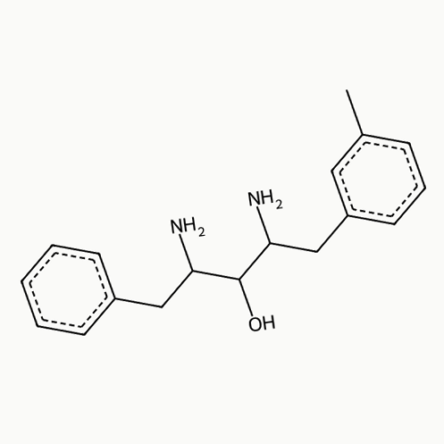 Cc1cccc(CC(N)C(O)C(N)Cc2ccccc2)c1